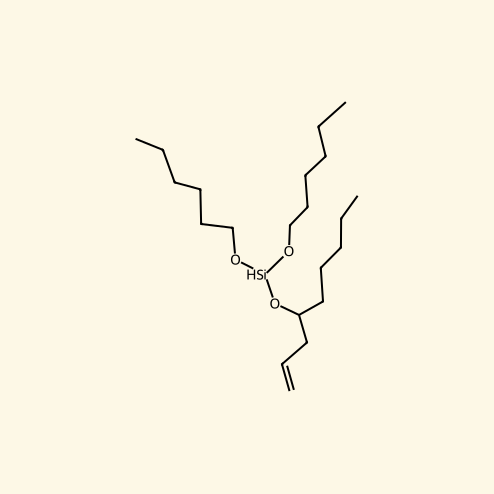 C=CCC(CCCCC)O[SiH](OCCCCCC)OCCCCCC